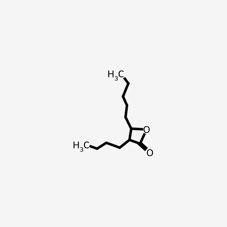 CCCCCC1OC(=O)C1CCCC